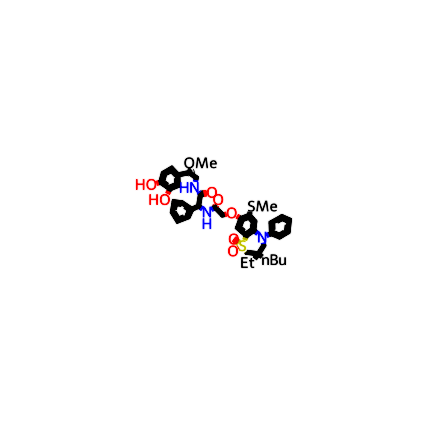 CCCCC1(CC)CN(c2ccccc2)c2cc(SC)c(OCC(=O)NC(C(=O)NC[C@H](OC)c3ccc(O)c(O)c3)c3ccccc3)cc2S(=O)(=O)C1